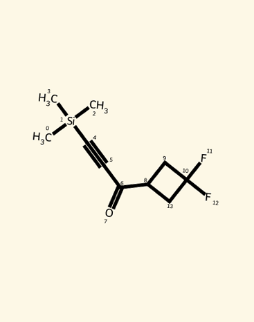 C[Si](C)(C)C#CC(=O)C1CC(F)(F)C1